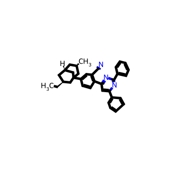 CC[C@H]1C[C@H]2C[C@@H](C)CC(c3ccc(-c4cc(-c5ccccc5)nc(-c5ccccc5)n4)c(C#N)c3)(C2)C1